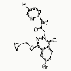 O=C(Cn1nc(OCC2CC2)c2cc(Br)ccc2c1=O)Nc1ncc(F)cn1